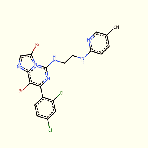 N#Cc1ccc(NCCNc2nc(-c3ccc(Cl)cc3Cl)c(Br)c3ncc(Br)n23)nc1